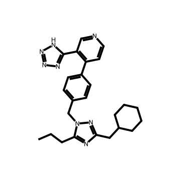 CCCc1nc(CC2CCCCC2)nn1Cc1ccc(-c2ccncc2-c2nnn[nH]2)cc1